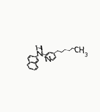 CCCCCCc1ccnc(Nc2ccc3ccccc3c2)c1